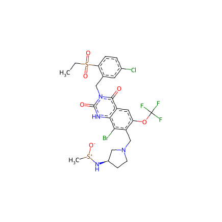 CCS(=O)(=O)c1ccc(Cl)cc1Cn1c(=O)[nH]c2c(Br)c(CN3CC[C@@H](N[S+](C)[O-])C3)c(OC(F)(F)F)cc2c1=O